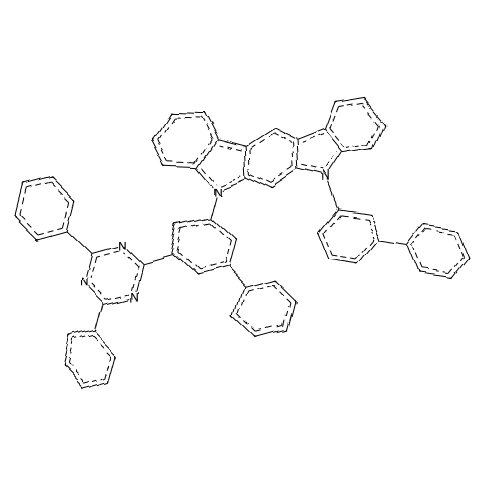 c1ccc(-c2cccc(-n3c4ccccc4c4cc5c6ccccc6n(-c6cc(-c7ccccc7)cc(-c7nc(-c8ccccc8)nc(-c8ccccc8)n7)c6)c5cc43)c2)cc1